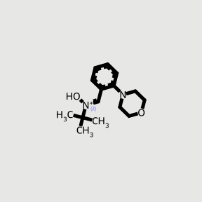 CC(C)(C)/[N+](O)=C/c1ccccc1N1CCOCC1